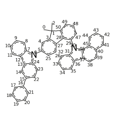 CC1(C)c2cc(-n3c4ccccc4c4cc(-c5ccccc5)ccc43)ccc2-c2c(-n3c4ccccc4c4ccc5ccccc5c43)cccc21